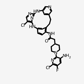 Nc1cc(F)c(Cl)nc1N1CCC(CC(=O)Nc2ccc3cc2CCc2cncc(c2)Nc2ncc(Cl)c(n2)N3)CC1